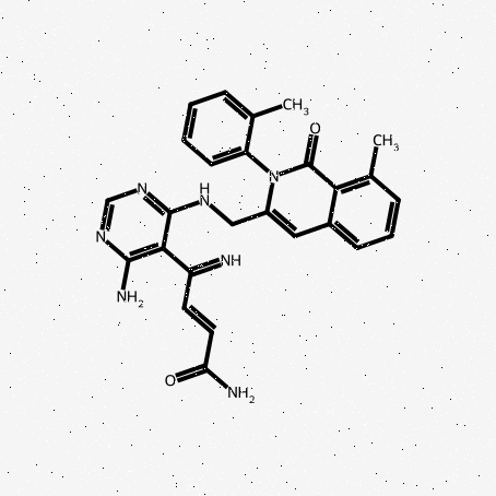 Cc1ccccc1-n1c(CNc2ncnc(N)c2C(=N)/C=C/C(N)=O)cc2cccc(C)c2c1=O